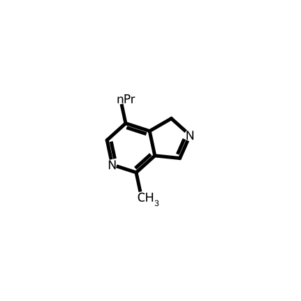 CCCc1cnc(C)c2c1CN=C2